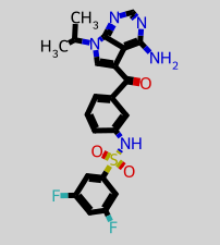 CC(C)n1cc(C(=O)c2cccc(NS(=O)(=O)c3cc(F)cc(F)c3)c2)c2c(N)ncnc21